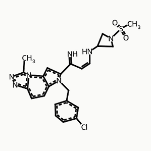 Cc1nnc2ccc3c(cc(C(=N)/C=C\NC4CN(S(C)(=O)=O)C4)n3Cc3cccc(Cl)c3)n12